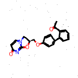 CC(=O)c1ccccc1-c1ccc(OC[C@@H]2Cn3ccc(=O)nc3O2)cc1